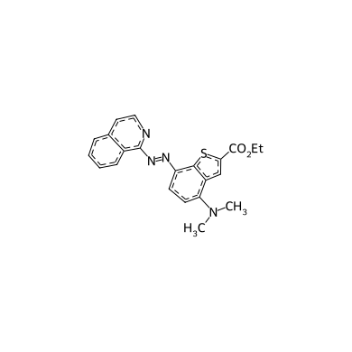 CCOC(=O)c1cc2c(N(C)C)ccc(/N=N/c3nccc4ccccc34)c2s1